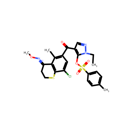 CCn1ncc(C(=O)c2cc(Cl)c3c(c2C)/C(=N/OC)CCS3)c1OS(=O)(=O)c1ccc(C)cc1